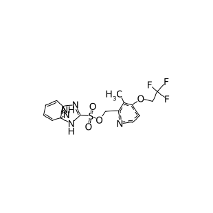 Cc1c(OCC(F)(F)F)ccnc1COS(=O)(=O)C1=NC23C=CC=CC2(N=CN3)N1